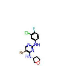 Fc1ccc(Nc2ncc(Br)c(N[C@@H]3CCOC3)n2)cc1Cl